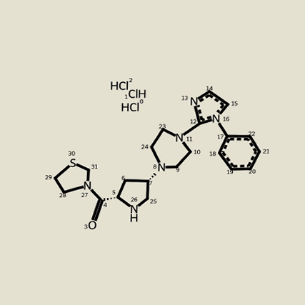 Cl.Cl.Cl.O=C([C@@H]1C[C@H](N2CCN(c3nccn3-c3ccccc3)CC2)CN1)N1CCSC1